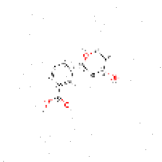 COC(=O)c1cccc([C@H]2C[C@@H](O)CCO2)c1